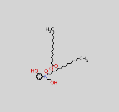 CCCCCCCCCCCCCC(=O)O[C@H](CCCCCCCCCCC)CC(=O)N(CCO)c1cccc(O)c1